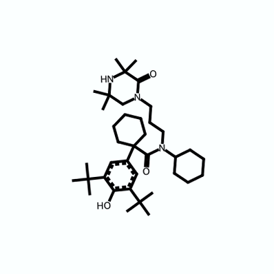 CC1(C)CN(CCCN(C(=O)C2(c3cc(C(C)(C)C)c(O)c(C(C)(C)C)c3)CCCCC2)C2CCCCC2)C(=O)C(C)(C)N1